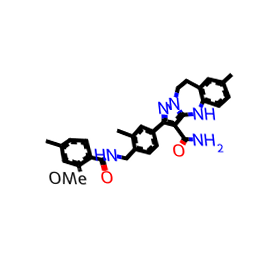 COc1cc(C)ccc1C(=O)NCc1ccc(-c2nn3c(c2C(N)=O)Nc2ccc(C)cc2CC3)cc1C